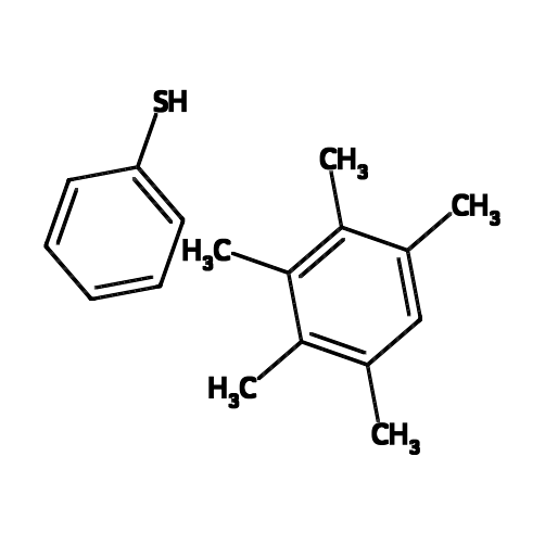 Cc1cc(C)c(C)c(C)c1C.Sc1ccccc1